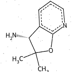 CC1(C)Oc2ncccc2[C@H]1N